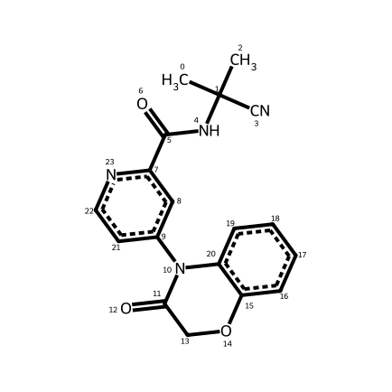 CC(C)(C#N)NC(=O)c1cc(N2C(=O)COc3ccccc32)ccn1